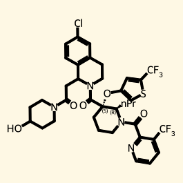 CCC[C@H]1N(C(=O)c2ncccc2C(F)(F)F)CCC[C@@]1(Oc1csc(C(F)(F)F)c1)C(=O)N1CCc2cc(Cl)ccc2C1CC(=O)N1CCC(O)CC1